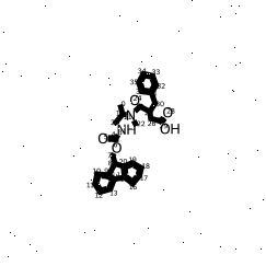 CC(CNC(=O)OCC1c2ccccc2-c2ccccc21)N(C)C(=O)C(CC(=O)O)Cc1ccccc1